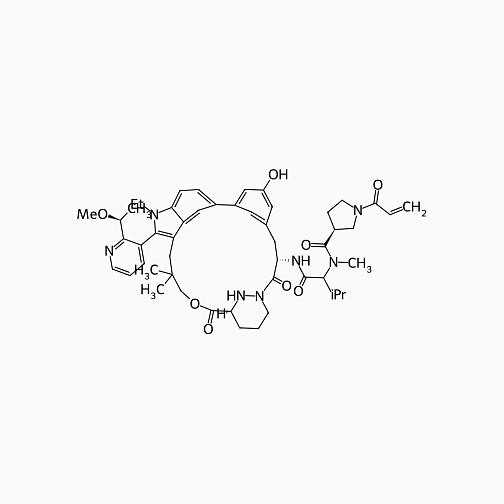 C=CC(=O)N1CC[C@H](C(=O)N(C)C(C(=O)N[C@H]2Cc3cc(O)cc(c3)-c3ccc4c(c3)c(c(-c3cccnc3[C@H](C)OC)n4CC)CC(C)(C)COC(=O)[C@@H]3CCCN(N3)C2=O)C(C)C)C1